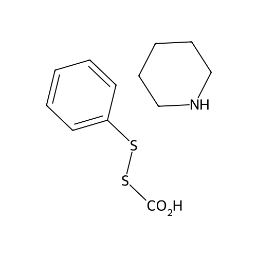 C1CCNCC1.O=C(O)SSc1ccccc1